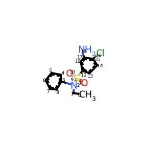 CCN(c1ccccc1)S(=O)(=O)c1ccc(Cl)c(N)c1